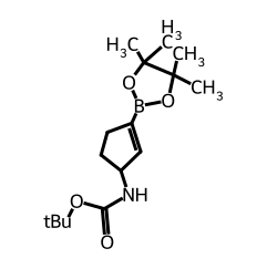 CC(C)(C)OC(=O)NC1C=C(B2OC(C)(C)C(C)(C)O2)CC1